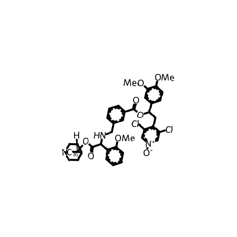 COc1ccc(C(Cc2c(Cl)c[n+]([O-])cc2Cl)OC(=O)c2cccc(CNC(C(=O)O[C@H]3CN4CCC3CC4)c3ccccc3OC)c2)cc1OC